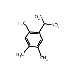 Cc1cc(C)c(C([N+](=O)[O-])[N+](=O)[O-])cc1C